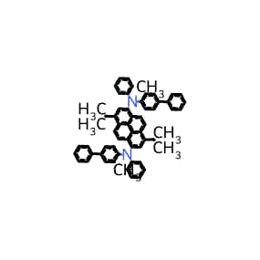 Cc1cc(-c2ccccc2)ccc1N(c1ccccc1)c1cc(C(C)C)c2ccc3c(N(c4ccccc4)c4ccc(-c5ccccc5)cc4C)cc(C(C)C)c4ccc1c2c43